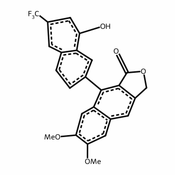 COc1cc2cc3c(c(-c4ccc5cc(C(F)(F)F)cc(O)c5c4)c2cc1OC)C(=O)OC3